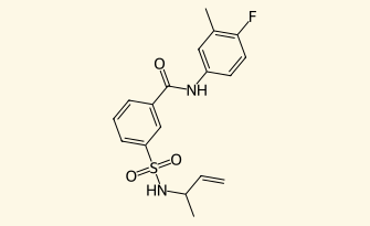 C=CC(C)NS(=O)(=O)c1cccc(C(=O)Nc2ccc(F)c(C)c2)c1